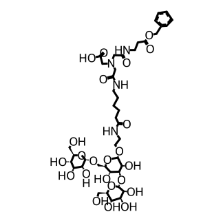 O=C(O)CN(CC(=O)NCCCCCC(=O)NCCO[C@H]1O[C@H](CO[C@H]2O[C@H](CO)[C@@H](O)[C@H](O)[C@@H]2O)[C@@H](O)[C@H](O[C@H]2O[C@H](CO)[C@@H](O)[C@H](O)[C@@H]2O)[C@@H]1O)CC(=O)NCCC(=O)OCc1ccccc1